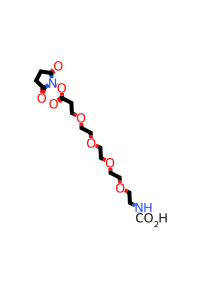 O=C(O)NCCOCCOCCOCCOCCC(=O)ON1C(=O)CCC1=O